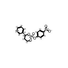 O=[N+]([O-])c1ccc(O[P@]2(=O)OCC[C@@H](c3cccnc3)O2)cc1